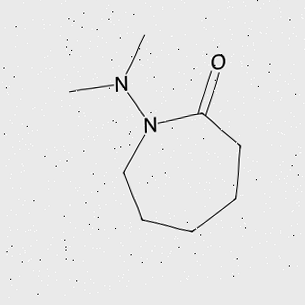 CN(C)N1CCCCCC1=O